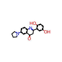 O=C1CC(c2cc(O)ccc2O)=Nc2ccc(N3CCCC3)cc21